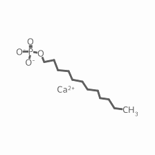 CCCCCCCCCCCCOP(=O)([O-])[O-].[Ca+2]